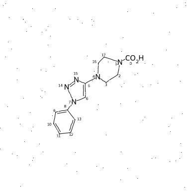 O=C(O)N1CCN(c2cn(-c3ccccc3)nn2)CC1